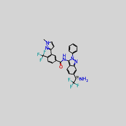 Cn1ccc(-c2cc(C(=O)Nc3c4ccc([C@H](N)C(F)(F)F)cc4nn3-c3ccccc3)ccc2C(F)(F)F)n1